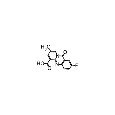 Cc1cc(C(=O)O)c2nc3ccc(F)cc3c(=O)n2c1